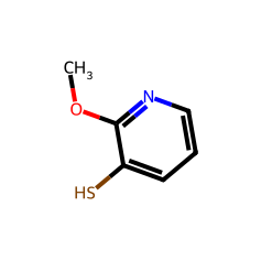 COc1ncccc1S